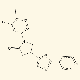 Cc1ccc(N2CC(c3nc(-c4ccncc4)no3)CC2=O)cc1F